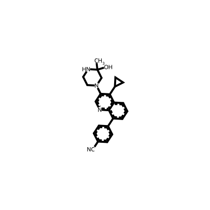 CC1(O)CN(c2cnc3c(-c4ccc(C#N)cc4)cccc3c2C2CC2)CCN1